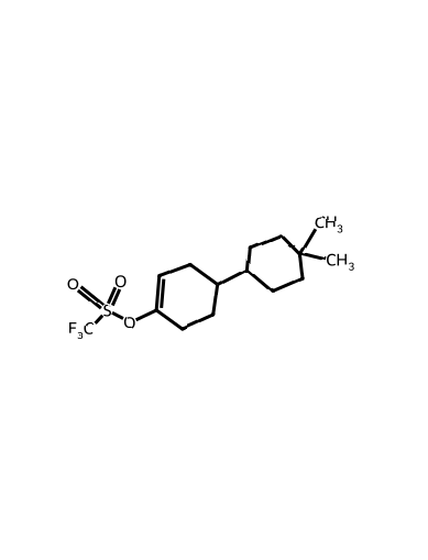 CC1(C)CCC(C2CC=C(OS(=O)(=O)C(F)(F)F)CC2)CC1